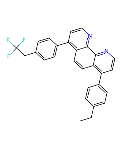 CCc1ccc(-c2ccnc3c2ccc2c(-c4ccc(CC(F)(F)F)cc4)ccnc23)cc1